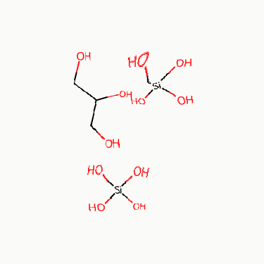 OCC(O)CO.O[Si](O)(O)O.O[Si](O)(O)O